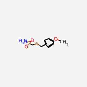 COc1ccc(CSCS(N)(=O)=O)cc1